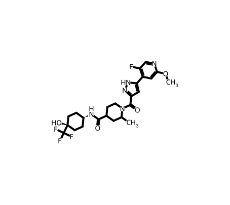 COc1cc(-c2cc(C(=O)N3CCC(C(=O)N[C@H]4CC[C@@](O)(C(F)(F)F)CC4)CC3C)n[nH]2)c(F)cn1